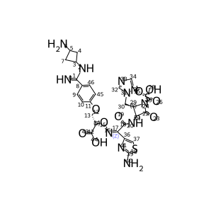 N=C(NC1CC(N)C1)c1ccc(OC[C@H](O/N=C(\C(=O)N[C@@H]2C(=O)N(S(=O)(=O)O)[C@@H]2Cn2cncn2)c2csc(N)n2)C(=O)O)cc1